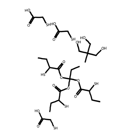 CC(CO)(CO)CO.CCC(S)C(=O)OC(CC)(OC(=O)C(S)CC)OC(=O)C(S)CC.O=C(O)CS.O=C(O)CS.O=C(O)CS